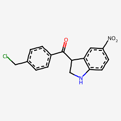 O=C(c1ccc(CCl)cc1)C1CNc2ccc([N+](=O)[O-])cc21